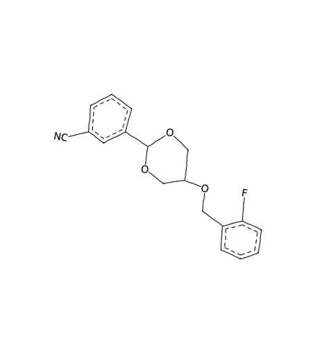 N#Cc1cccc(C2OCC(OCc3ccccc3F)CO2)c1